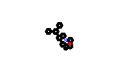 CC1(C)c2ccccc2-c2c1ccc1c2N(c2ccccc2)c2cccc3c(-c4cc(-c5ccccc5)cc(-c5ccccc5)c4)ccc-1c23